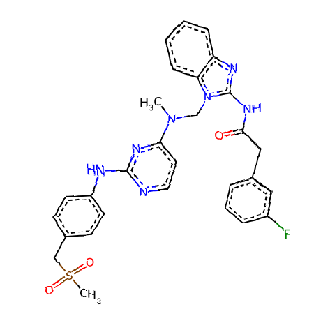 CN(Cn1c(NC(=O)Cc2cccc(F)c2)nc2ccccc21)c1ccnc(Nc2ccc(CS(C)(=O)=O)cc2)n1